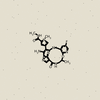 CNC(=O)c1cc(-c2c3nc4c(cnn4c2N)C(=O)NCC(C)Oc2ncc(F)cc2CN3)cn1C